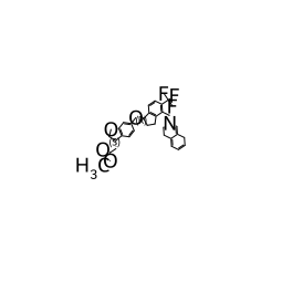 COC(=O)C[C@@H]1COc2cc(O[C@@H]3CCc4c3ccc(C(F)(F)F)c4CN3C=C4CC=CC=C4CC3)ccc21